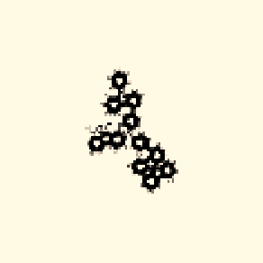 CC1(C)c2ccccc2-c2ccc(N(c3ccc(-c4cccc5c4-c4ccccc4C54c5ccccc5-c5ccccc54)cc3)c3ccc(-c4cccc5c4c4ccccc4n5-c4ccccc4)cc3)cc21